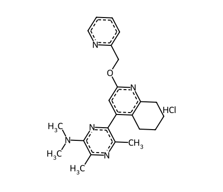 Cc1nc(C)c(N(C)C)nc1-c1cc(OCc2ccccn2)nc2c1CCCC2.Cl